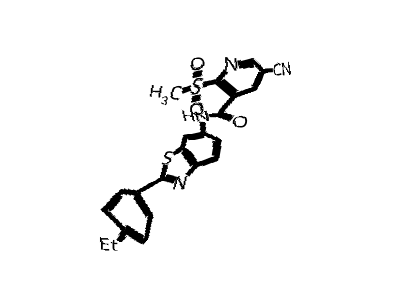 CCc1ccc(-c2nc3ccc(NC(=O)c4cc(C#N)cnc4S(C)(=O)=O)cc3s2)cc1